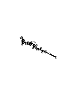 CCN(CC)c1ccc2c(COC(=O)Nc3ncc(Cc4cc(OC)c(OCCCNC(=O)CCC(=O)NCCOCCOCCCCCCCl)c(OC)c4)c(N)n3)cc(=O)oc2c1